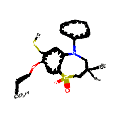 CCCCC1(CCCC)CN(c2ccccc2)c2cc(SCC)c(OC=CC(=O)O)cc2S(=O)(=O)C1